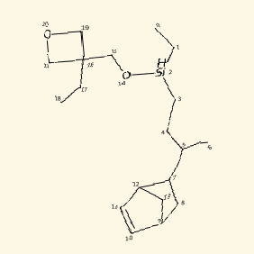 CC[SiH](CCC(C)C1CC2C=CC1C2)OCC1(CC)COC1